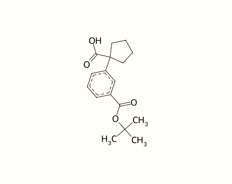 CC(C)(C)OC(=O)c1cccc(C2(C(=O)O)CCCC2)c1